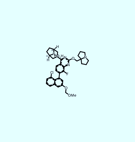 COCOc1cc(-c2ccc3c(N4C[C@H]5CC[C@@H](C4)N5C(=O)O)nc(OCC45CCCN4CCC5)nc3c2F)c2c(Cl)cccc2c1